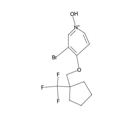 O[n+]1ccc(OCC2(C(F)(F)F)CCCC2)c(Br)c1